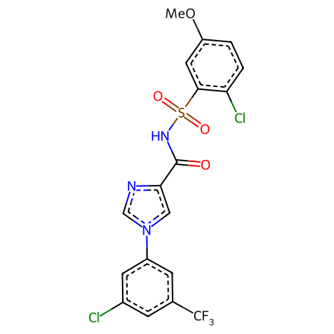 COc1ccc(Cl)c(S(=O)(=O)NC(=O)c2cn(-c3cc(Cl)cc(C(F)(F)F)c3)cn2)c1